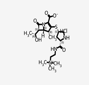 C[C@@H](O)[C@H]1C(=O)N2C(C(=O)[O-])=C(S[C@@H]3CN[C@H](C(=O)NCC[N+](C)(C)C)C3)[C@H](C)[C@H]12.Cl